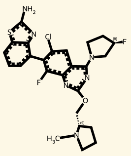 CN1CCC[C@H]1COc1nc(N2CC[C@@H](F)C2)c2cc(Cl)c(-c3cccc4sc(N)nc34)c(F)c2n1